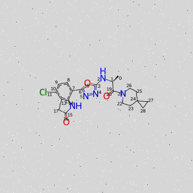 C[C@H](Nc1nnc(-c2ccc(Cl)c3c2NC(=O)C3)o1)C(=O)N1CCC2(CC1)CC2